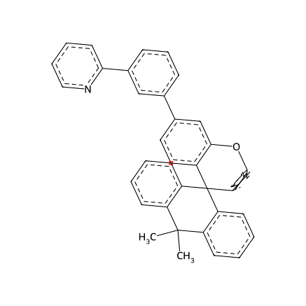 CC1(C)c2ccccc2C2(c3ccccc3Oc3cc(-c4cccc(-c5ccccn5)c4)ccc32)c2ccccc21